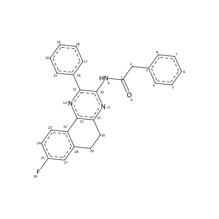 O=C(Cc1ccccc1)Nc1nc2c(nc1-c1ccccc1)-c1ccc(F)cc1CC2